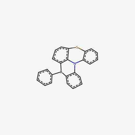 c1ccc(B2c3ccccc3N3c4ccccc4Sc4cccc2c43)cc1